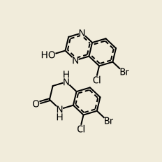 O=C1CNc2ccc(Br)c(Cl)c2N1.Oc1cnc2ccc(Br)c(Cl)c2n1